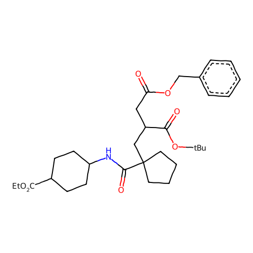 CCOC(=O)C1CCC(NC(=O)C2(CC(CC(=O)OCc3ccccc3)C(=O)OC(C)(C)C)CCCC2)CC1